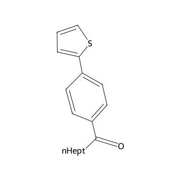 CCCCCCCC(=O)c1ccc(-c2cccs2)cc1